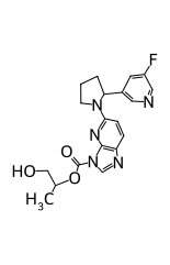 CC(CO)OC(=O)n1cnc2ccc(N3CCCC3c3cncc(F)c3)nc21